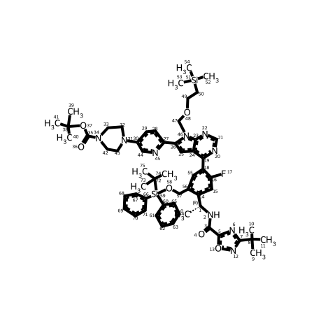 C[C@@H](NC(=O)c1nc(C(C)(C)C)no1)c1cc(F)c(-c2ncnc3c2cc(-c2ccc(N4CCN(C(=O)OC(C)(C)C)CC4)cn2)n3COCC[Si](C)(C)C)cc1CO[Si](c1ccccc1)(c1ccccc1)C(C)(C)C